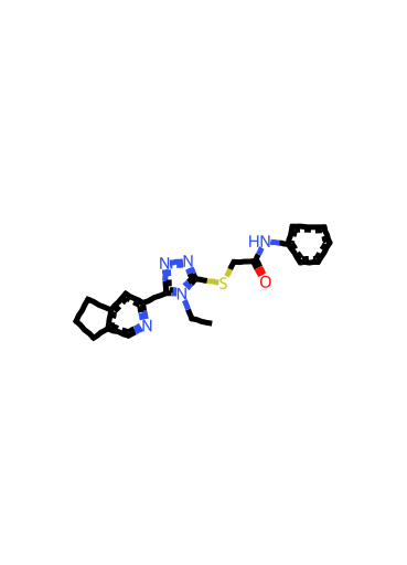 CCn1c(SCC(=O)Nc2ccccc2)nnc1-c1cc2c(cn1)CCC2